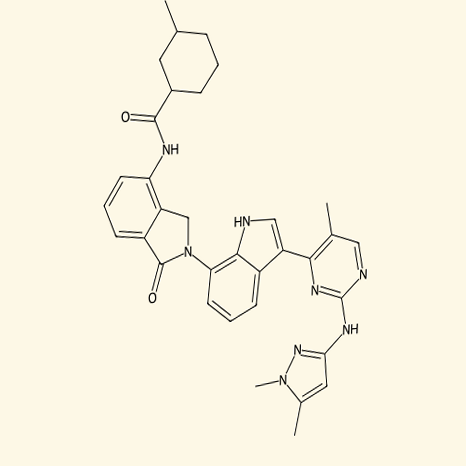 Cc1cnc(Nc2cc(C)n(C)n2)nc1-c1c[nH]c2c(N3Cc4c(NC(=O)C5CCCC(C)C5)cccc4C3=O)cccc12